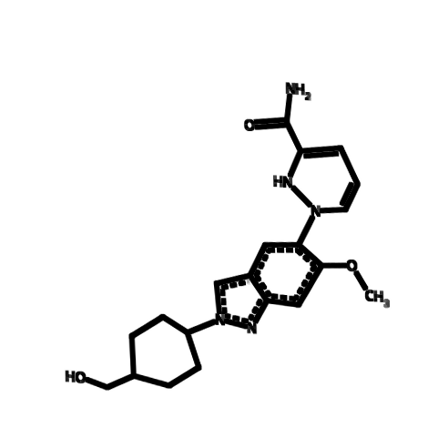 COc1cc2nn(C3CCC(CO)CC3)cc2cc1N1C=CC=C(C(N)=O)N1